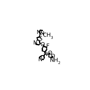 Cn1ccnc1-c1cc2nccc(Oc3ccc(N(C(=O)CC(N)=O)c4ccncc4)cc3F)c2s1